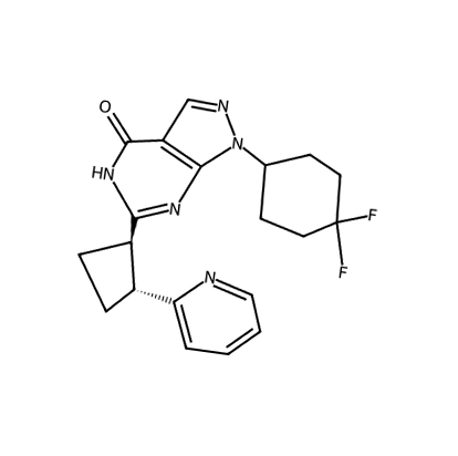 O=c1[nH]c([C@@H]2CC[C@H]2c2ccccn2)nc2c1cnn2C1CCC(F)(F)CC1